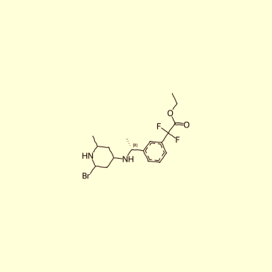 CCOC(=O)C(F)(F)c1cccc([C@@H](C)NC2CC(C)NC(Br)C2)c1